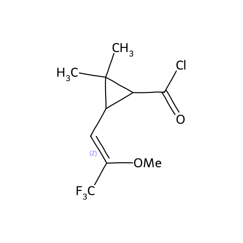 CO/C(=C\C1C(C(=O)Cl)C1(C)C)C(F)(F)F